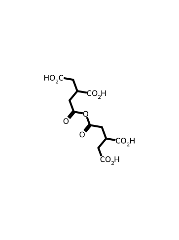 O=C(O)CC(CC(=O)OC(=O)CC(CC(=O)O)C(=O)O)C(=O)O